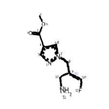 COC(=O)c1cnn(C/C(=C/F)CN)c1